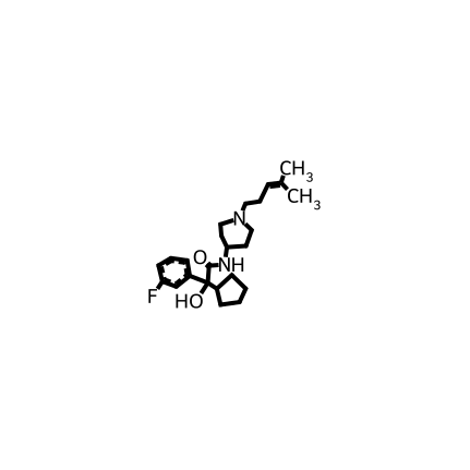 CC(C)=CCCN1CCC(NC(=O)C(O)(c2cccc(F)c2)C2CCCC2)CC1